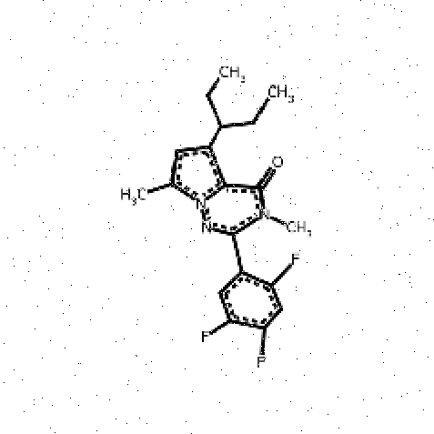 CCC(CC)c1cc(C)n2nc(-c3cc(F)c(F)cc3F)n(C)c(=O)c12